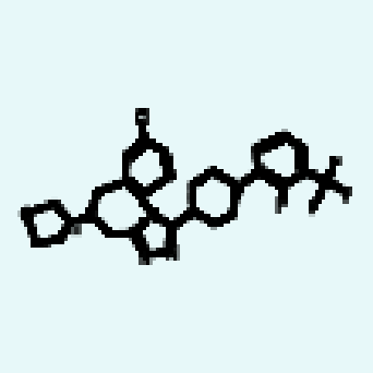 Fc1c(N2CCC(c3nnc4n3-c3ccc(Cl)cc3CN([C@@H]3CCOC3)C4)CC2)cccc1C(F)(F)F